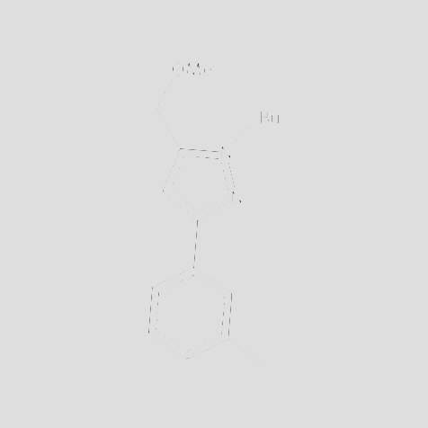 COCc1cc(-c2cccc(C)c2)nn1C(C)(C)C